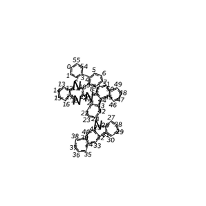 c1ccc(-c2ccccc2-c2nc3ccccc3nc2-n2c3ccc(-n4c5ccccc5c5cc6ccccc6cc54)cc3c3c4ccccc4ccc32)cc1